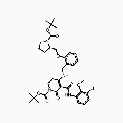 COc1c(Cl)cccc1NC(=S)C1=C(NCc2ccncc2OC[C@H]2CCCN2C(=O)OC(C)(C)C)CCN(C(=O)OC(C)(C)C)C1=O